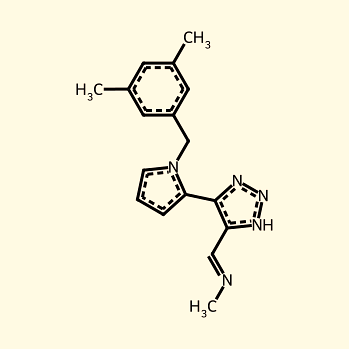 C/N=C/c1[nH]nnc1-c1cccn1Cc1cc(C)cc(C)c1